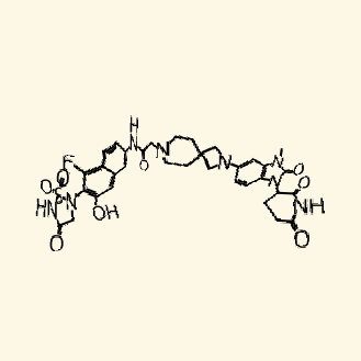 Cn1c(=O)n(C2CCC(=O)NC2=O)c2ccc(N3CC4(CCN(CC(=O)Nc5ccc6c(F)c(N7CC(=O)NS7(=O)=O)c(O)cc6c5)CC4)C3)cc21